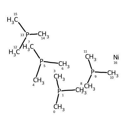 CP(C)C.CP(C)C.CP(C)C.CP(C)C.[Ni]